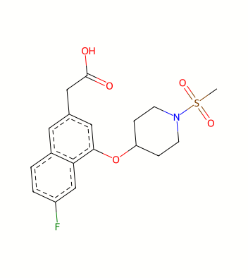 CS(=O)(=O)N1CCC(Oc2cc(CC(=O)O)cc3ccc(F)cc23)CC1